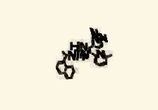 Cc1cccc(-c2nc(CNC(C)c3cccc4ccccc34)[nH]c2-c2ccc3ncnn3c2)n1